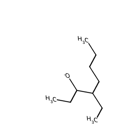 CCCCC(CC)C([O])CC